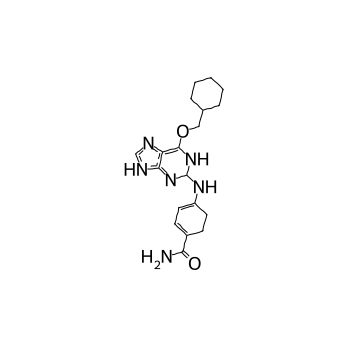 NC(=O)C1=CC=C(NC2N=c3[nH]cnc3=C(OCC3CCCCC3)N2)CC1